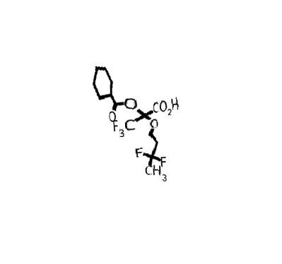 CC(F)(F)CCOC(OC(=O)C1CCCCC1)(C(=O)O)C(F)(F)F